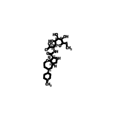 CSC1O[C@H]([C@H](NC(=O)[C@H]2NC[C@@H]3C[C@@H](C4CCN(C)CC4)CCO[C@H]32)[C@H](C)Cl)C(O)[C@@H](O)[C@H]1O